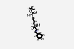 CC(C)(C)OC(=O)NCCCCNC(=O)/C=C/c1ccccc1